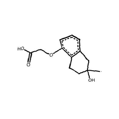 [CH2]C1(O)CCc2c(cccc2OCC(=O)O)C1